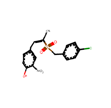 N#CC(=Cc1ccc(O)c([N+](=O)[O-])c1)S(=O)(=O)Cc1ccc(Cl)cc1